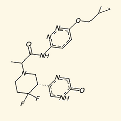 CC(C(=O)Nc1ccc(OCC2CC2)nn1)N1CCC(F)(F)[C@@H](c2c[nH]c(=O)cn2)C1